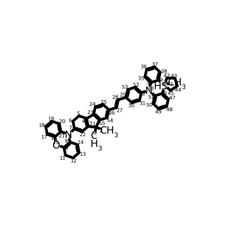 CC1(C)C2=C(CCC(N3C4=C(CCC=C4)Oc4ccccc43)=C2)c2ccc(/C=C/c3ccc(N4c5ccccc5[SH]5(C)(CCCC5)c5ccccc54)cc3)cc21